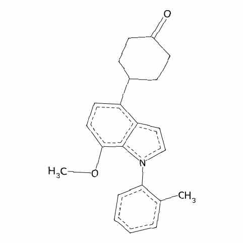 COc1ccc(C2CCC(=O)CC2)c2ccn(-c3ccccc3C)c12